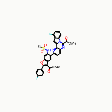 CCS(=O)(=O)Nc1cc2oc(-c3ccc(F)cc3)c(C(=O)NC)c2cc1-c1ccc2nc(C(=O)OC)n3c4cccc(F)c4cc3c2n1